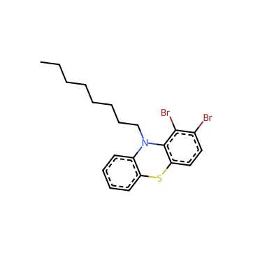 CCCCCCCCN1c2ccccc2Sc2ccc(Br)c(Br)c21